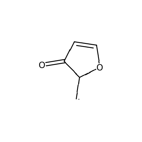 [CH2]C1OC=CC1=O